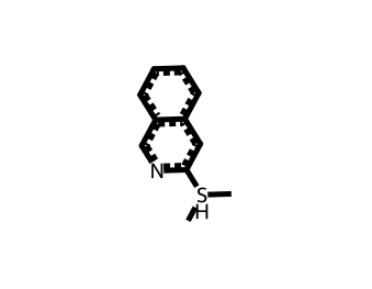 C[SH](C)c1cc2ccccc2cn1